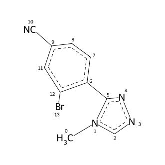 Cn1cnnc1-c1ccc(C#N)cc1Br